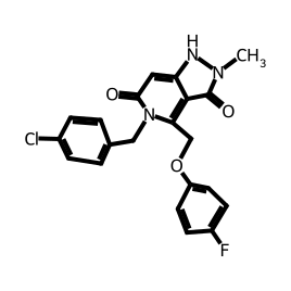 Cn1[nH]c2cc(=O)n(Cc3ccc(Cl)cc3)c(COc3ccc(F)cc3)c2c1=O